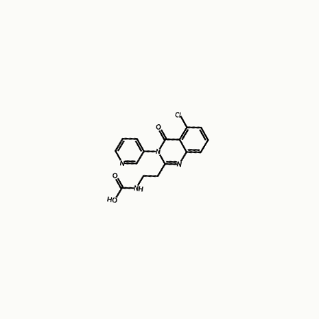 O=C(O)NCCc1nc2cccc(Cl)c2c(=O)n1-c1cccnc1